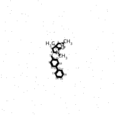 COC[C@]1(C)C[C@@H](Cc2ccc(-c3ccccc3)cc2)N(C)C1=O